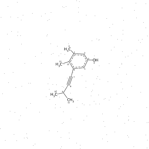 Cc1cc(O)cc(C#CC(C)C)c1C